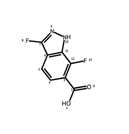 O=C(O)c1ccc2c(F)n[nH]c2c1F